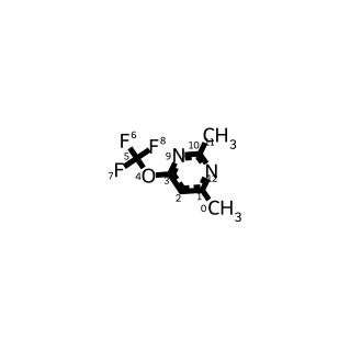 Cc1cc(OC(F)(F)F)nc(C)n1